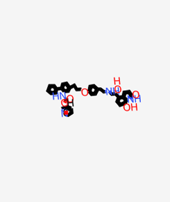 O=C(Nc1cc(CCCOc2ccc(CCNCC(O)c3ccc(O)c4[nH]c(=O)ccc34)cc2)ccc1-c1ccccc1)O[C@H]1CN2CCC1CC2